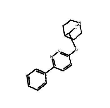 c1ccc(-c2ccc(OC3CN4CCC3CC4)nn2)cc1